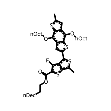 CCCCCCCCCCCCOC(=O)c1sc2c(C)sc(-c3cc4c(OCCCCCCCC)c5sc(C)cc5c(OCCCCCCCC)c4s3)c2c1F